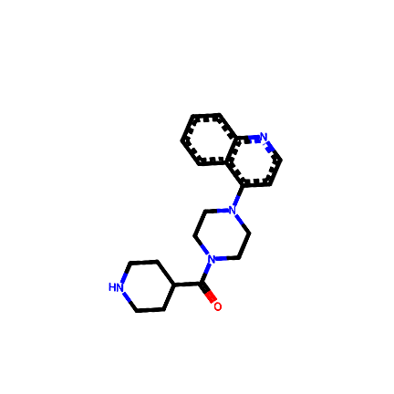 O=C(C1CCNCC1)N1CCN(c2ccnc3ccccc23)CC1